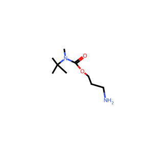 CN(C(=O)OCCCN)C(C)(C)C